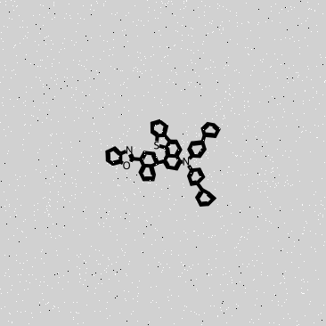 c1ccc(-c2ccc(N(c3ccc(-c4ccccc4)cc3)c3ccc(-c4ccc(-c5nc6ccccc6o5)c5ccccc45)c4c3ccc3c5ccccc5sc34)cc2)cc1